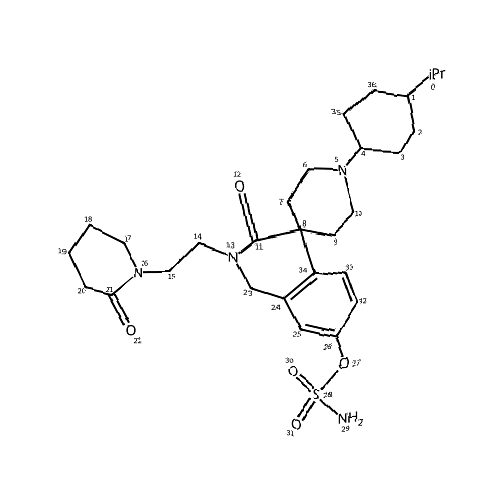 CC(C)C1CCC(N2CCC3(CC2)C(=O)N(CCN2CCCCC2=O)Cc2cc(OS(N)(=O)=O)ccc23)CC1